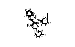 CC1CCCN(c2nc(NC3CCCNC3)c(-c3nc4ccccc4s3)c(=O)[nH]2)C1